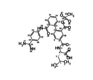 CC(C)C[C@H](NC(=O)c1ccc(-c2ccccc2C(=O)Nc2ccc(C(=N)N)cc2)c(C(=O)OS(C)(=O)=O)c1)C(=O)O